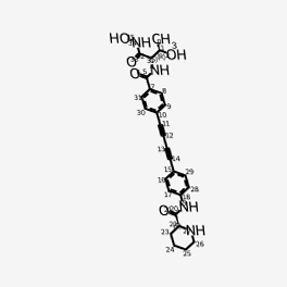 C[C@@H](O)[C@H](NC(=O)c1ccc(C#CC#Cc2ccc(NC(=O)[C@@H]3CCCCN3)cc2)cc1)C(=O)NO